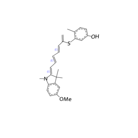 C=C(/C=C/C=C/C=C1/N(C)c2ccc(OC)cc2C1(C)C)Sc1cc(O)ccc1C